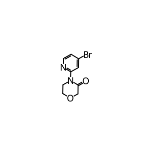 O=C1COCCN1c1cc(Br)ccn1